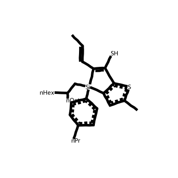 CC=CC1=C(S)c2sc(C)cc2[Si]1(CC(CCCCCC)CCCCCCCC)c1ccc(CCC)cc1